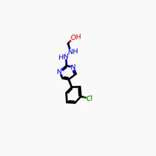 OCNNc1ncc(-c2cccc(Cl)c2)cn1